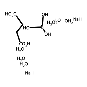 O.O.O.O.O.O.O=C(O)CCC(=O)O.OB(O)O.[NaH].[NaH]